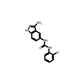 Nc1n[nH]c2ccc(NC(=O)Nc3ccccc3Cl)cc12